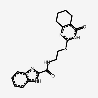 O=C(NCCSc1nc2c(c(=O)[nH]1)CCCC2)c1nc2ccccc2[nH]1